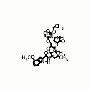 CCOC(=O)O[C@H](CC)OCC(=O)[C@H](C[C@@H]1CCNC1=O)NC(=O)[C@H](CC(C)C)NC(=O)c1cc2c(OC)cccc2[nH]1